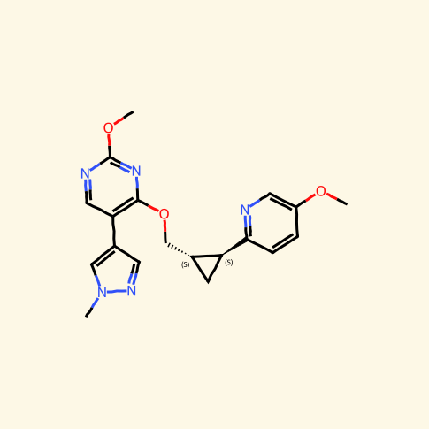 COc1ccc([C@H]2C[C@@H]2COc2nc(OC)ncc2-c2cnn(C)c2)nc1